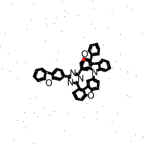 c1ccc2c(c1)oc1cc(-c3nc(-c4ccc5c(c4)oc4ccccc45)nc(-c4cccc5oc6ccc(-n7c8ccccc8c8ccccc87)cc6c45)n3)ccc12